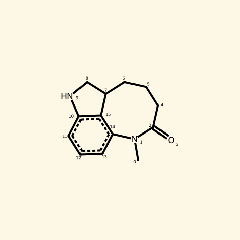 CN1C(=O)CCCC2CNc3cccc1c32